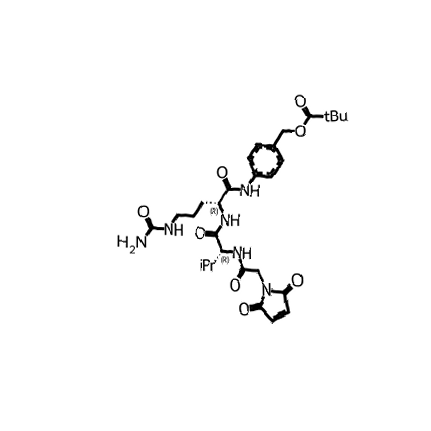 CC(C)[C@@H](NC(=O)CN1C(=O)C=CC1=O)C(=O)N[C@H](CCCNC(N)=O)C(=O)Nc1ccc(COC(=O)C(C)(C)C)cc1